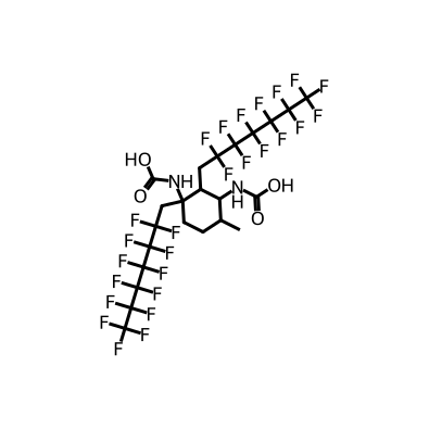 CC1CCC(CC(F)(F)C(F)(F)C(F)(F)C(F)(F)C(F)(F)C(F)(F)F)(NC(=O)O)C(CC(F)(F)C(F)(F)C(F)(F)C(F)(F)C(F)(F)C(F)(F)F)C1NC(=O)O